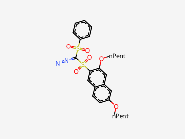 CCCCCOc1ccc2cc(S(=O)(=O)C(=[N+]=[N-])S(=O)(=O)c3ccccc3)c(OCCCCC)cc2c1